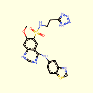 COc1cc2ncnc(Nc3ccc4scnc4c3)c2cc1S(=O)(=O)NCCc1nnn[nH]1